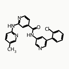 Cc1ccc(Nc2cc(C(=O)Nc3cncc(-c4ccccc4Cl)c3)ccn2)nc1